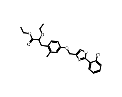 CCOC(=O)C(Cc1ccc(OCc2coc(-c3ccccc3Cl)n2)cc1C)OCC